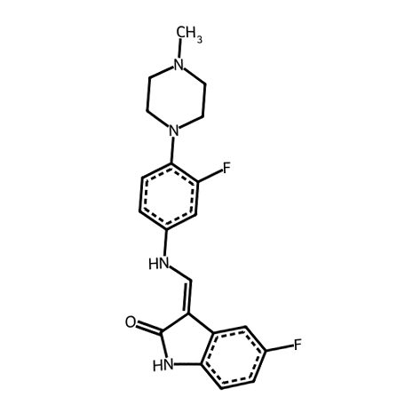 CN1CCN(c2ccc(NC=C3C(=O)Nc4ccc(F)cc43)cc2F)CC1